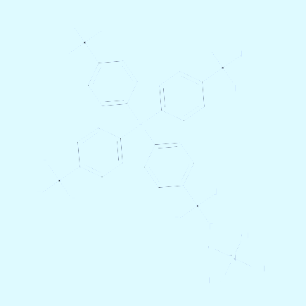 C[N+](C)(C)C.FC(F)(F)c1ccc([B-](c2ccc(C(F)(F)F)cc2)(c2ccc(C(F)(F)F)cc2)c2ccc(C(F)(F)F)cc2)cc1